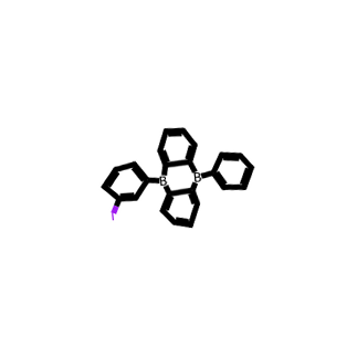 Ic1cccc(B2c3ccccc3B(c3ccccc3)c3ccccc32)c1